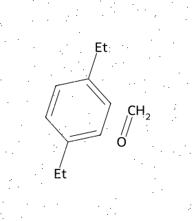 C=O.CCc1ccc(CC)cc1